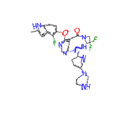 Cc1cc2c(F)c(Oc3ncnc(NC4CC=C(N5CCNCC5)C=N4)c3C(=O)N3CC(F)(F)C3)ccc2[nH]1